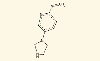 C=Nc1ccc(N2CCNC2)cn1